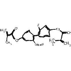 C=C(C)C(=C)Oc1ccc(-c2ccc(OC(=O)C(=C)C)cc2OC)c(F)c1